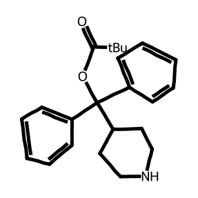 CC(C)(C)C(=O)OC(c1ccccc1)(c1ccccc1)C1CCNCC1